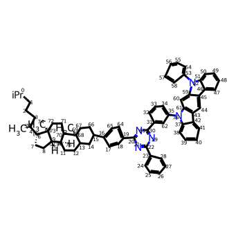 CC(C)CCC[C@@H](C)[C@H]1CC[C@H]2[C@@H]3CCC4CC(c5ccc(-c6nc(-c7ccccc7)nc(-c7cccc(-n8c9ccccc9c9cc%10c%11ccccc%11n(-c%11ccccc%11)c%10cc98)c7)n6)cc5)CC[C@]4(C)C3CC[C@]12C